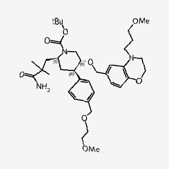 COCCCN1CCOc2ccc(CO[C@H]3CN(C(=O)OC(C)(C)C)[C@H](CC(C)(C)C(N)=O)C[C@@H]3c3ccc(COCCOC)cc3)cc21